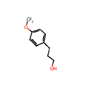 OCC[CH]c1ccc(OC(F)(F)F)cc1